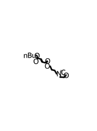 CCCCOC(=O)/C=C/C(=O)OCCCCN1CCOCC1